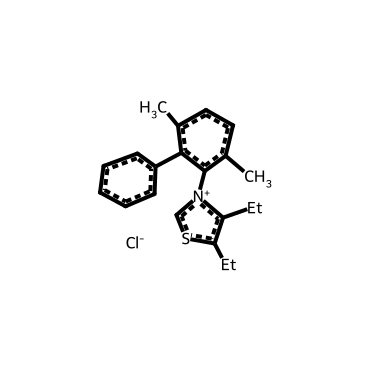 CCc1sc[n+](-c2c(C)ccc(C)c2-c2ccccc2)c1CC.[Cl-]